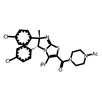 CC(=O)N1CCN(C(=O)C2=C(C(C)C)N3C(=N[C@@](C)(c4ccc(Cl)cc4)[C@H]3c3ccc(Cl)cc3)S2)CC1